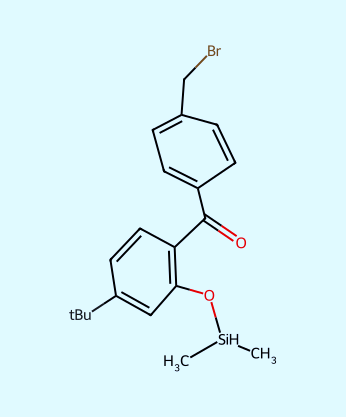 C[SiH](C)Oc1cc(C(C)(C)C)ccc1C(=O)c1ccc(CBr)cc1